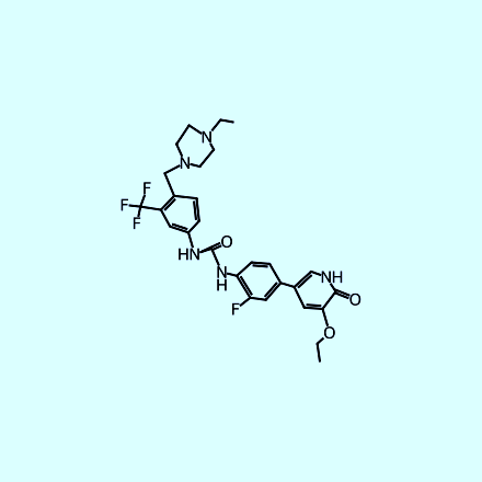 CCOc1cc(-c2ccc(NC(=O)Nc3ccc(CN4CCN(CC)CC4)c(C(F)(F)F)c3)c(F)c2)c[nH]c1=O